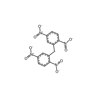 O=[N+]([O-])c1ccc([N+](=O)[O-])c([CH]c2cc([N+](=O)[O-])ccc2[N+](=O)[O-])c1